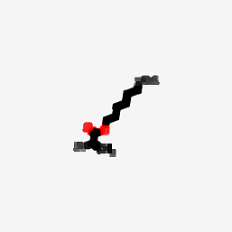 C=C(C(=O)OCCCCCCCCCCCCCC)C(C)C